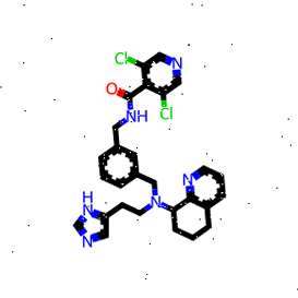 O=C(NCc1cccc(CN(CCc2cnc[nH]2)C2CCCc3cccnc32)c1)c1c(Cl)cncc1Cl